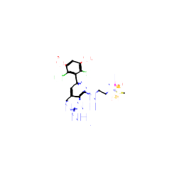 COc1cc(OC)c(Cl)c(-c2cc3cnc(N)nc3c(NCCNS(C)(=O)=O)n2)c1Cl